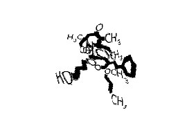 CCCCOC(=O)C(CC(OCCCCO)ON1C(C)(CC)CC(=O)C(C)C1(C)CC)CC(C)c1ccccc1